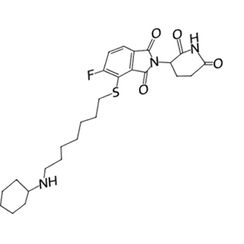 O=C1CCC(N2C(=O)c3ccc(F)c(SCCCCCCCNC4CCCCC4)c3C2=O)C(=O)N1